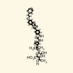 CC(O)[C@H](O)C(O[C@H](CO)OCC(C)(C)c1cc(NC(=O)Nc2ccc(-c3cn4c(n3)sc3cc(OCCN5CCOCC5)ccc34)cc2)no1)C(=O)O